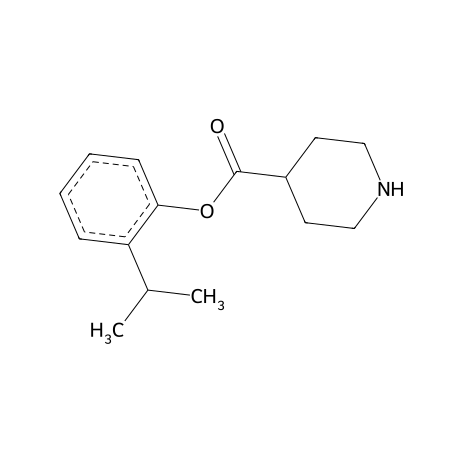 CC(C)c1ccccc1OC(=O)C1CCNCC1